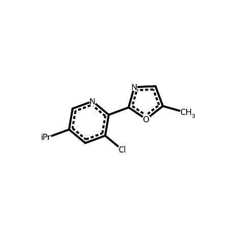 Cc1cnc(-c2ncc(C(C)C)cc2Cl)o1